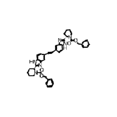 O=C(OCc1ccccc1)N1CCCC[C@H]1c1nc2cc(C#Cc3ccc4[nH]c([C@@H]5CCCCN5C(=O)OCc5ccccc5)nc4c3)ccc2[nH]1